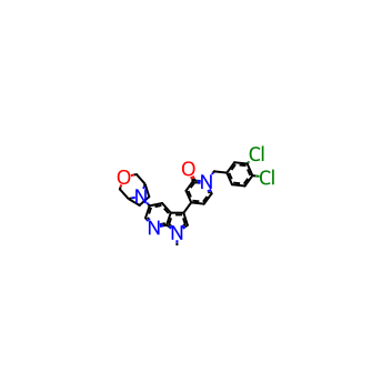 Cn1cc(-c2ccn(Cc3ccc(Cl)c(Cl)c3)c(=O)c2)c2cc(N3C4CCC3COC4)cnc21